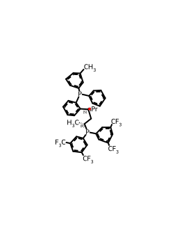 CCC[C@@H](C[C@@H](C)P(c1cc(C(F)(F)F)cc(C(F)(F)F)c1)c1cc(C(F)(F)F)cc(C(F)(F)F)c1)c1ccccc1P(c1ccccc1)c1cccc(C)c1